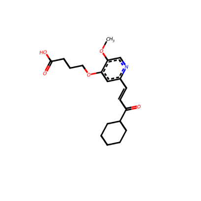 COc1cnc(C=CC(=O)C2CCCCC2)cc1OCCCC(=O)O